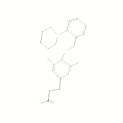 CC(=O)CCc1cc(F)c(OCc2ccccc2N2CCCCC2)c(F)c1